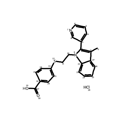 Cc1c(-c2cccnc2)n(CCSc2ccc(C(=O)O)cc2)c2ccccc12.Cl